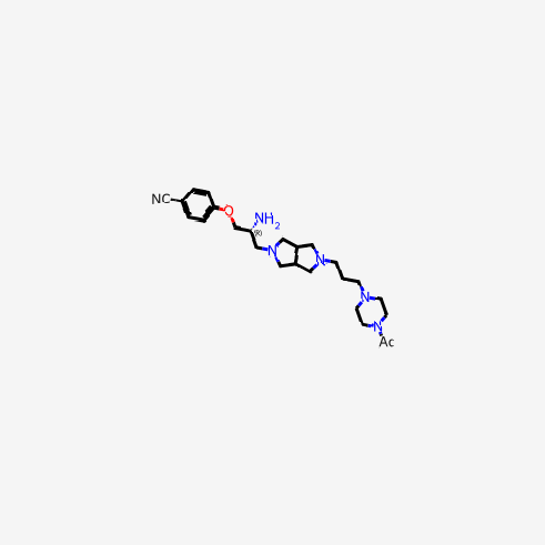 CC(=O)N1CCN(CCCN2CC3CN(C[C@@H](N)COc4ccc(C#N)cc4)CC3C2)CC1